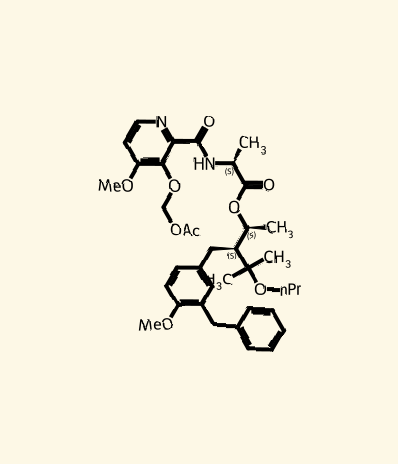 CCCOC(C)(C)[C@@H](Cc1ccc(OC)c(Cc2ccccc2)c1)[C@H](C)OC(=O)[C@H](C)NC(=O)c1nccc(OC)c1OCOC(C)=O